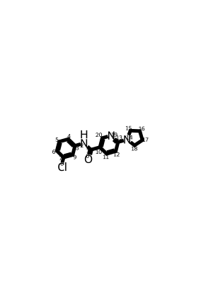 O=C(Nc1cccc(Cl)c1)c1ccc(N2CCCC2)nc1